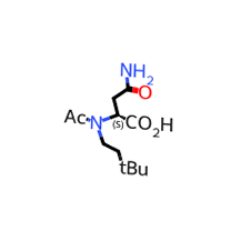 CC(=O)N(CCC(C)(C)C)[C@@H](CC(N)=O)C(=O)O